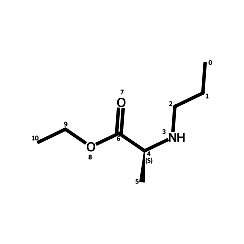 CCCN[C@@H](C)C(=O)OCC